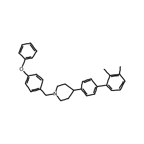 Cc1cccc(-c2ccc(C3CCN(Cc4ccc(Oc5ccccc5)cc4)CC3)cc2)c1C